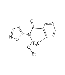 CCOCN(C(=O)c1cnccc1C(F)(F)F)C1=IC=NO1